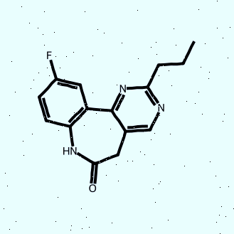 CCCc1ncc2c(n1)-c1cc(F)ccc1NC(=O)C2